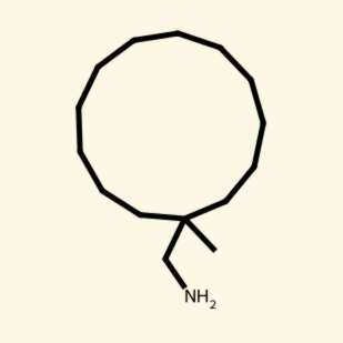 CC1(CN)CCCCCCCCCCCC1